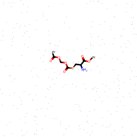 CC(C)OC(=O)C(N)CSC(=O)OCOC(=O)C(C)C